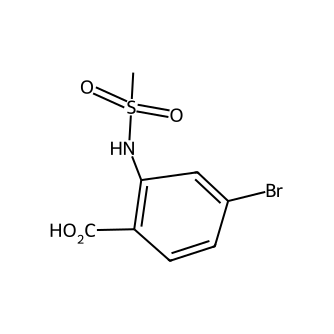 CS(=O)(=O)Nc1cc(Br)ccc1C(=O)O